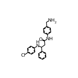 NCc1ccc(NC(=O)CC(Nc2ccc(Cl)cc2)c2ccccc2)cc1